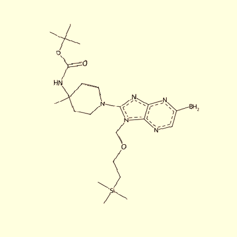 Bc1cnc2c(n1)nc(N1CCC(C)(NC(=O)OC(C)(C)C)CC1)n2COCC[Si](C)(C)C